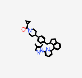 Cc1cnn(-c2cccc(-c3cccc4c3C(Cc3ccc(C5CCN(C(=O)C6CC6)CC5)cc3)CC4)n2)c1C